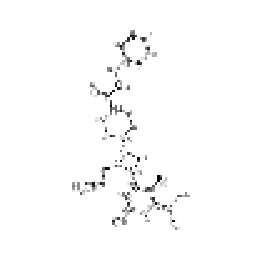 C=CC[C@H]1[C@H](N2CCN(C(=O)OCc3ccccc3)CC2)CN1c1cc(Cl)nc(C(F)F)c1Br